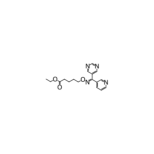 CCOC(=O)CCCCON=C(c1cccnc1)c1cncnc1